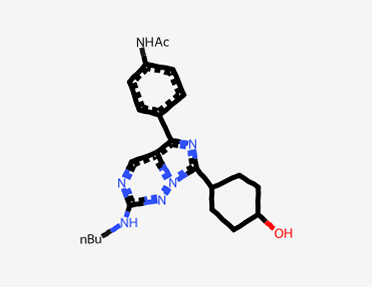 CCCCNc1ncc2c(-c3ccc(NC(C)=O)cc3)nc(C3CCC(O)CC3)n2n1